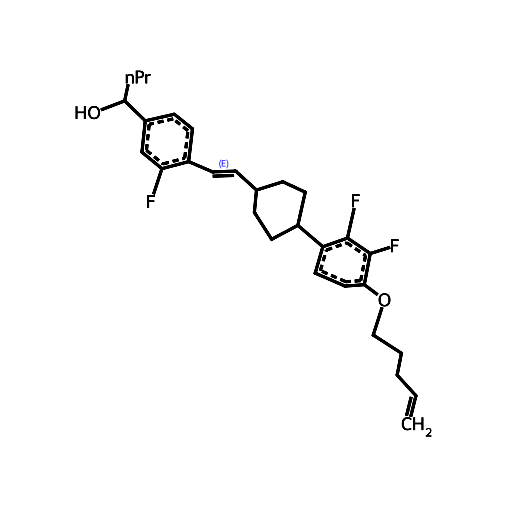 C=CCCCOc1ccc(C2CCC(/C=C/c3ccc(C(O)CCC)cc3F)CC2)c(F)c1F